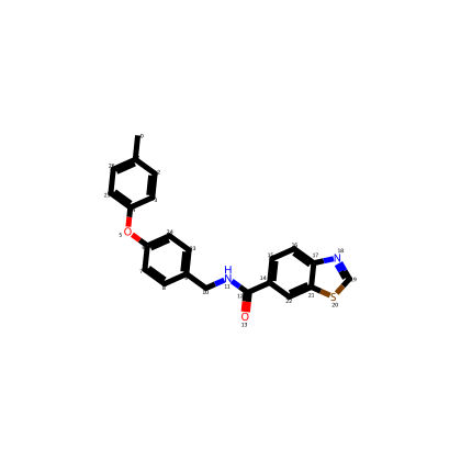 Cc1ccc(Oc2ccc(CNC(=O)c3ccc4ncsc4c3)cc2)cc1